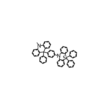 CN1c2ccccc2C(c2ccccc2)(c2ccc(N3c4ccccc4[Si](c4ccccc4)(c4ccccc4)c4ccccc43)cc2)c2ccccc21